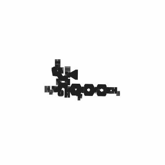 CN1CCN(C2CCN(c3ccc(Nc4nc(NC5CC5)c(-c5cc[nH]n5)nc4C(N)=O)cc3F)CC2)CC1